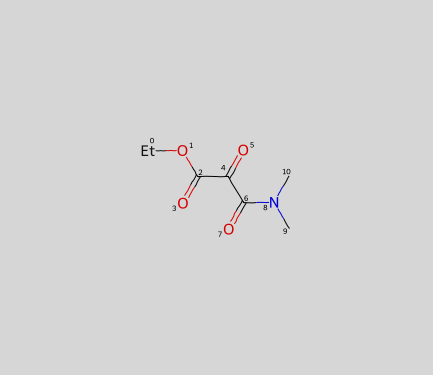 CCOC(=O)C(=O)C(=O)N(C)C